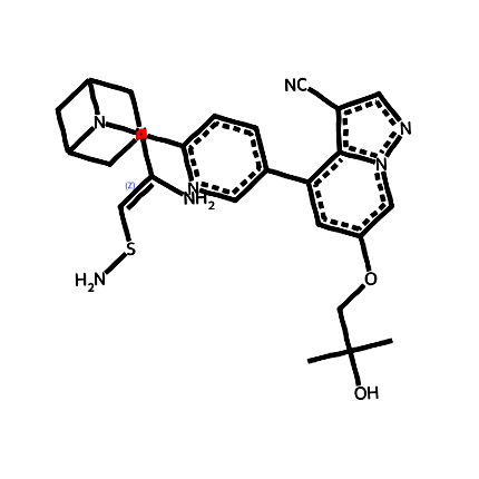 CC(C)(O)COc1cc(-c2ccc(N3CC4CC(C3)N4C/C(N)=C/SN)nc2)c2c(C#N)cnn2c1